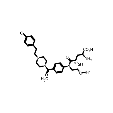 CC(C)OCCN(C(=O)[C@@H](S)CC(N)C(=O)O)c1ccc(C(=O)N2CCN(CCc3ccc(Cl)cc3)CC2)cc1.O